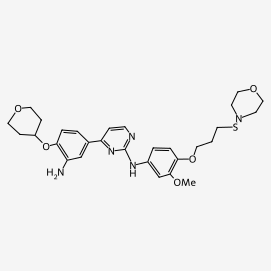 COc1cc(Nc2nccc(-c3ccc(OC4CCOCC4)c(N)c3)n2)ccc1OCCCSN1CCOCC1